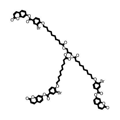 O=C(CCCCCCCCCOc1ccc(C(=O)Oc2ccc3ccc(=O)oc3c2)cc1Br)OCC(COC(=O)CCCCCCCCCOc1ccc(C(=O)Oc2ccc3ccc(=O)oc3c2)cc1Br)OC(=O)CCCCCCCCCOc1ccc(C(=O)Oc2ccc3ccc(=O)oc3c2)cc1Br